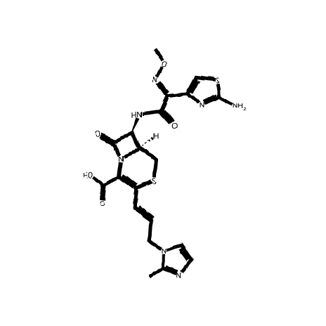 CON=C(C(=O)N[C@@H]1C(=O)N2C(C(=O)O)=C(C=CCn3ccnc3C)SC[C@H]12)c1csc(N)n1